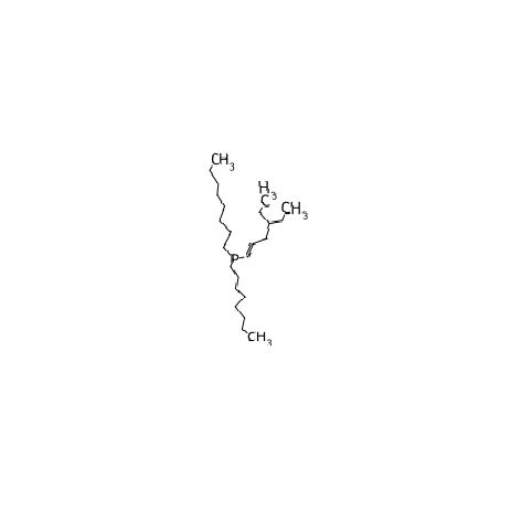 CCCCCCCCP(C=CCC(CC)CC)CCCCCCCC